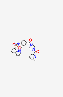 Cc1cccc(C(=O)N2CCN(C(=O)c3ccc(NS(=O)(=O)c4cccc5cccnc45)c(C)c3)CC2)n1